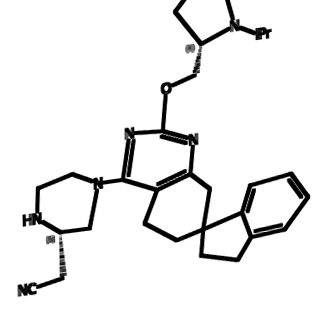 CC(C)N1CCC[C@H]1COc1nc2c(c(N3CCN[C@@H](CC#N)C3)n1)CCC1(CCc3ccccc31)C2